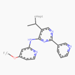 CCCCCCCC(C)c1cnc(-c2cccnc2)nc1Nc1cc(OC(F)(F)F)ccn1